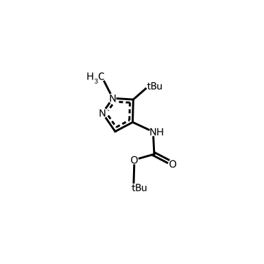 Cn1ncc(NC(=O)OC(C)(C)C)c1C(C)(C)C